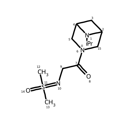 CC(C)N1C2CC1CN(C(=O)CN=S(C)(C)=O)C2